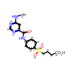 CCCNc1cc(C(=O)Nc2ccc(S(=O)(=O)CCCC(=O)O)cc2)ncn1